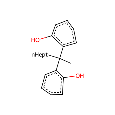 CCCCCCCC(C)(c1ccccc1O)c1ccccc1O